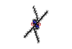 CCCCCCCCCCCCC(CCCCCCCCCC)Cc1c2c(=O)n3cccc3c(CC(CCCCCCCCCC)CCCCCCCCCCCC)c2c(=O)n2cccc12